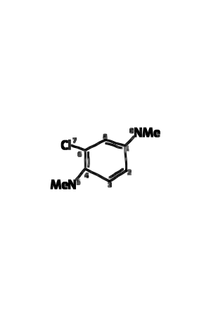 CNc1ccc(NC)c(Cl)c1